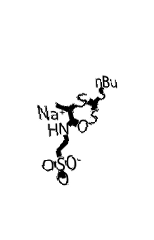 CCCCSC(=S)SC(C)C(=O)NCCS(=O)(=O)[O-].[Na+]